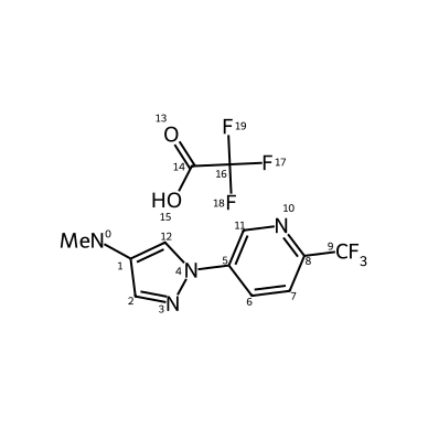 CNc1cnn(-c2ccc(C(F)(F)F)nc2)c1.O=C(O)C(F)(F)F